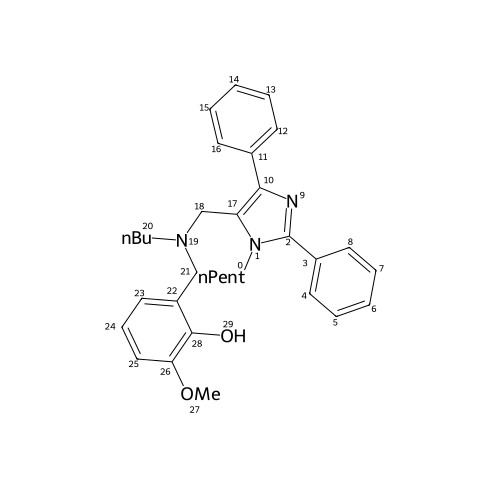 CCCCCn1c(-c2ccccc2)nc(-c2ccccc2)c1CN(CCCC)Cc1cccc(OC)c1O